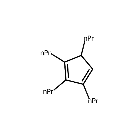 CCCC1=[C]C(CCC)C(CCC)=C1CCC